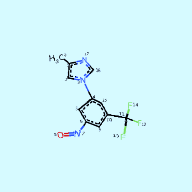 Cc1cn(-c2cc(N=O)cc(C(F)(F)F)c2)cn1